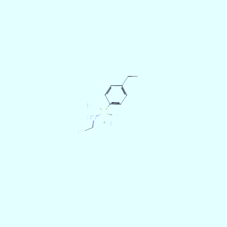 CC(C)CN[SH](C)(C)(C)c1ccc(CBr)cc1